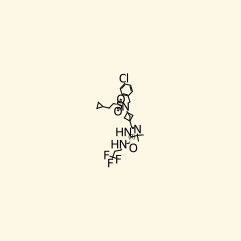 CC1(C)N=C(C23CC(N(Cc4ccc(Cl)cc4)S(=O)(=O)CCC4CC4)(C2)C3)N[C@H]1C(=O)NCCC(F)(F)F